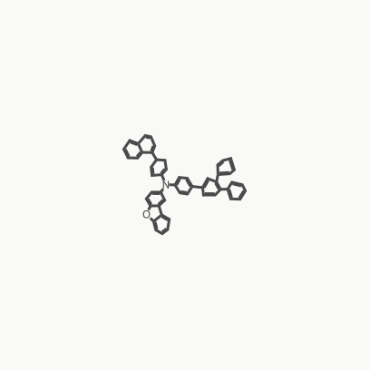 C1=CC(c2cccc3ccccc23)CC=C1N(c1ccc(-c2ccc(-c3ccccc3)c(-c3ccccc3)c2)cc1)c1ccc2oc3ccccc3c2c1